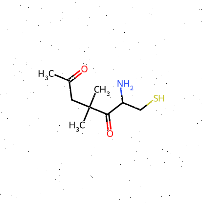 CC(=O)CC(C)(C)C(=O)C(N)CS